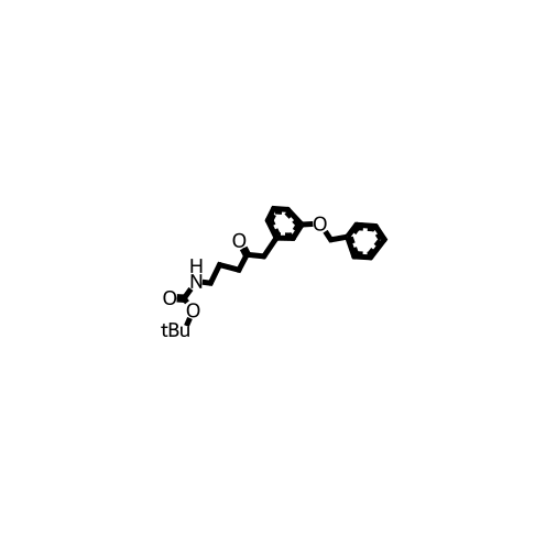 CC(C)(C)OC(=O)NCCCC(=O)Cc1cccc(OCc2ccccc2)c1